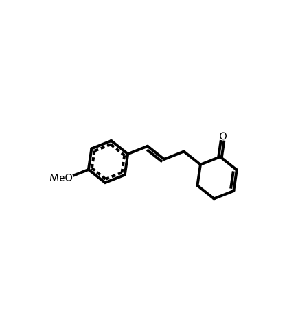 COc1ccc(/C=C/CC2CCC=CC2=O)cc1